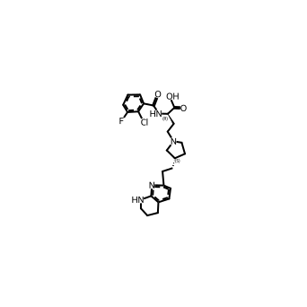 O=C(N[C@H](CCN1CC[C@H](CCc2ccc3c(n2)NCCC3)C1)C(=O)O)c1cccc(F)c1Cl